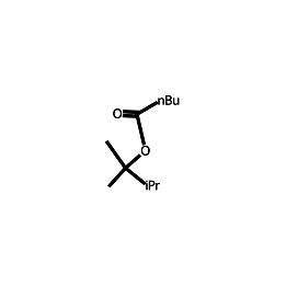 CCCCC(=O)OC(C)(C)C(C)C